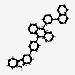 c1cc(-c2cccc3ccccc23)cc(-c2c3ccccc3c(-c3ccc(-c4ccc5sc6ccccc6c5c4)cc3)c3ccccc23)c1